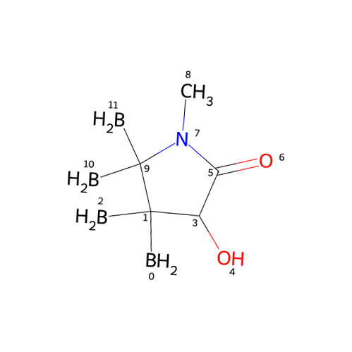 BC1(B)C(O)C(=O)N(C)C1(B)B